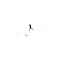 C=C(C#N)C(=O)O.CNC